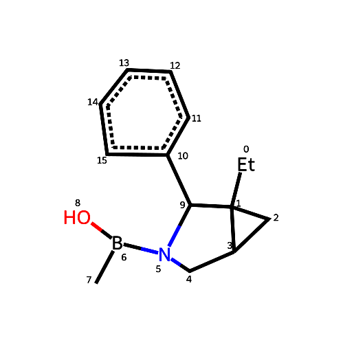 CCC12CC1CN(B(C)O)C2c1ccccc1